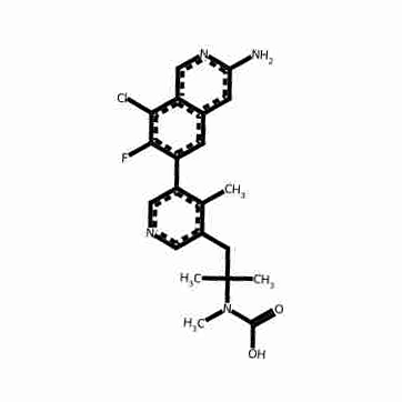 Cc1c(CC(C)(C)N(C)C(=O)O)cncc1-c1cc2cc(N)ncc2c(Cl)c1F